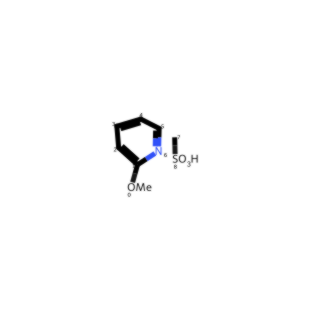 COc1ccccn1.CS(=O)(=O)O